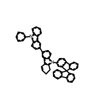 C1=Cc2c(n(-c3ccc4c(c3)C3(c5ccccc5-c5ccccc53)c3ccccc3-4)c3ccc(-c4ccc5c(c4)c4ccccc4n5-c4ccccc4)cc23)CC1